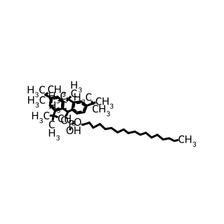 CCCCCCCCCCCCCCCCCCOP(O)OC(c1ccc(C(C)(C)C)cc1C(C)(C)C)c1ccc(C(C)(C)C)cc1C(C)(C)C